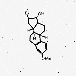 CC[C@@H]1C[C@H]2[C@@H]3CCc4cc(OC)ccc4[C@H]3CC[C@]2(C)[C@H]1O